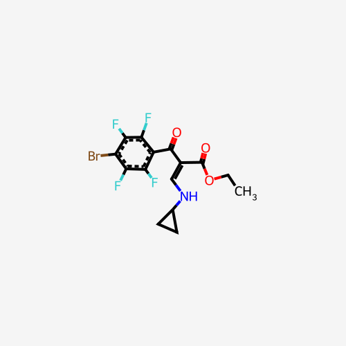 CCOC(=O)/C(=C\NC1CC1)C(=O)c1c(F)c(F)c(Br)c(F)c1F